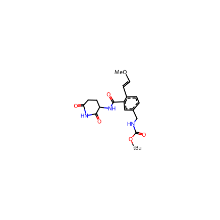 CO/C=C/c1ccc(CNC(=O)OC(C)(C)C)cc1C(=O)NC1CCC(=O)NC1=O